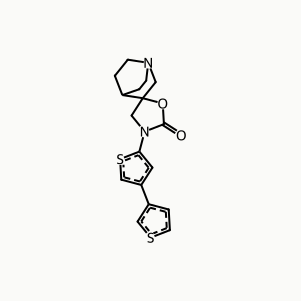 O=C1OC2(CN3CCC2CC3)CN1c1cc(-c2ccsc2)cs1